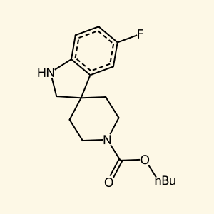 CCCCOC(=O)N1CCC2(CC1)CNc1ccc(F)cc12